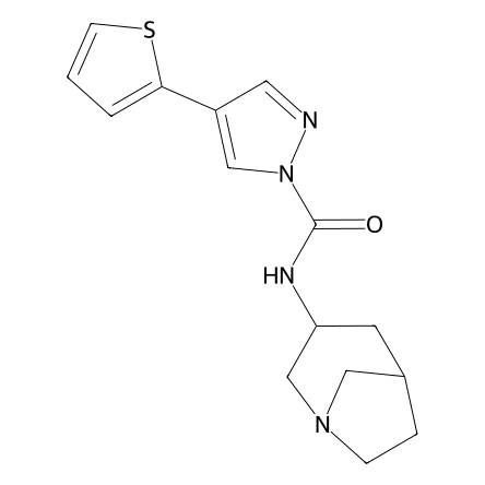 O=C(NC1CC2CCN(C2)C1)n1cc(-c2cccs2)cn1